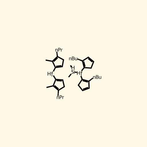 CCCC1=C(C)[C]([Hf][C]2=CCC(CCC)=C2C)=CC1.CCCCC1=[C]([Hf]([C]2=C(CCCC)C=CC2)[SiH](C)C)CC=C1